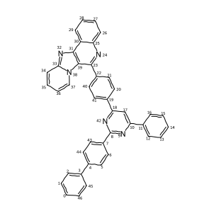 c1ccc(-c2ccc(-c3nc(-c4ccccc4)cc(-c4ccc(-c5nc6ccccc6c6nc7ccccn7c56)cc4)n3)cc2)cc1